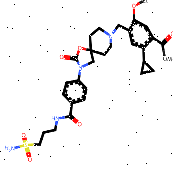 CCOc1cc(C(=O)OC)c(C2CC2)cc1CN1CCC2(CC1)CN(c1ccc(C(=O)NCCCS(N)(=O)=O)cc1)C(=O)O2